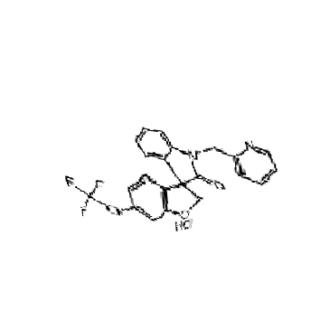 Cl.O=C1N(Cc2ccccn2)c2ccccc2C12COc1cc(OC(F)(F)F)ccc12